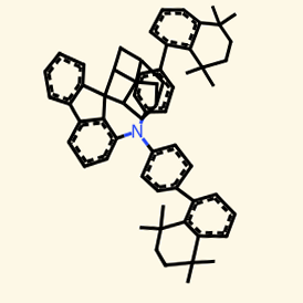 CC1(C)CCC(C)(C)c2c(-c3ccc(N(c4ccc(-c5cccc6c5C(C)(C)CCC6(C)C)cc4)c4cccc5c4C4(c6ccccc6-5)C5CC6CC7CC4C75C6)cc3)cccc21